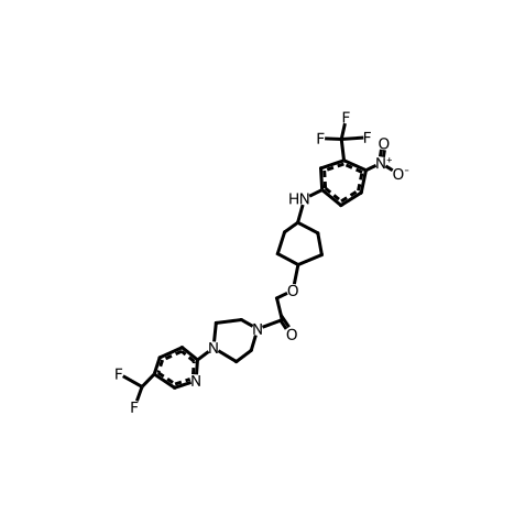 O=C(COC1CCC(Nc2ccc([N+](=O)[O-])c(C(F)(F)F)c2)CC1)N1CCN(c2ccc(C(F)F)cn2)CC1